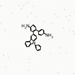 Nc1ccc(-c2ccc(N)cc2-c2ccc3c(c2)c2ccccc2n3-c2ccccc2)cc1